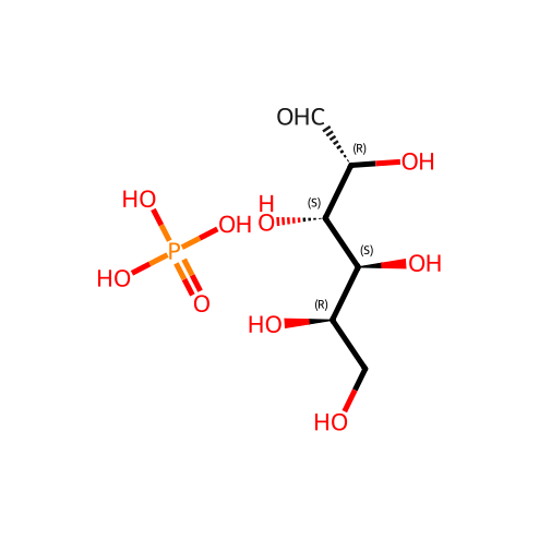 O=C[C@H](O)[C@@H](O)[C@@H](O)[C@H](O)CO.O=P(O)(O)O